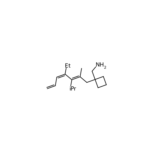 C=C/C=C(CC)\C(=C(/C)CC1(CN)CCC1)C(C)C